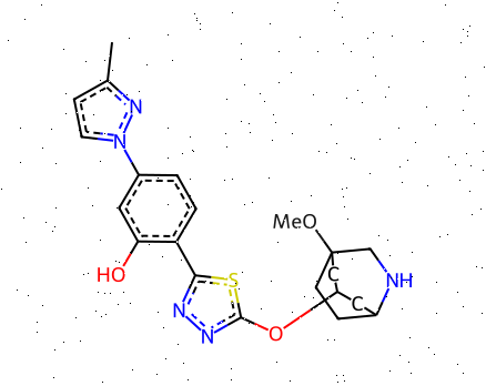 COC12CCC(CC(Oc3nnc(-c4ccc(-n5ccc(C)n5)cc4O)s3)C1)NC2